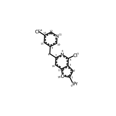 CC(C)c1cc2c(Cl)nc(Cc3cncc(Cl)c3)cc2o1